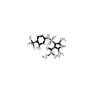 Cc1[nH]c(C)c(S(=O)(=O)Nc2ccc(C(F)(F)F)c(Cl)c2)c1C(=O)N(C)C